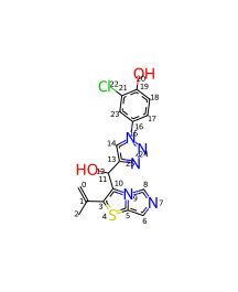 C=C(C)c1sc2cncn2c1C(O)c1cn(-c2ccc(O)c(Cl)c2)nn1